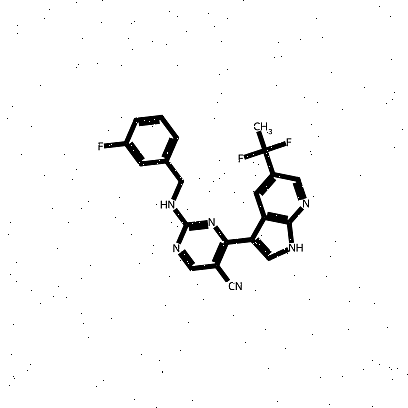 CC(F)(F)c1cnc2[nH]cc(-c3nc(NCc4cccc(F)c4)ncc3C#N)c2c1